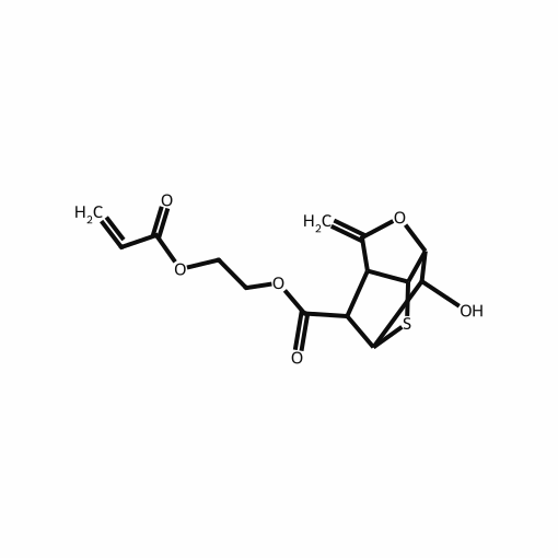 C=CC(=O)OCCOC(=O)C1C2SC3C(OC(=C)C31)C2O